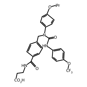 CC(C)Oc1ccc(N(Cc2ccc(C(=O)NCCC(=O)O)cc2)C(=O)Nc2ccc(OC(F)(F)F)cc2)cc1